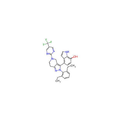 CCc1cccc(CC)c1-n1nc2c(c1-c1ccc(O)c3[nH]ccc13)CN(c1ncc(C(F)(F)F)cn1)CC2